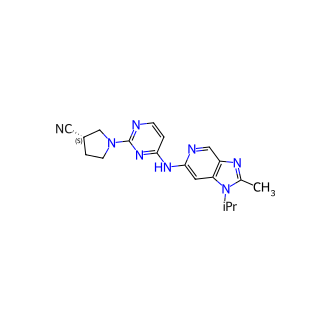 Cc1nc2cnc(Nc3ccnc(N4CC[C@H](C#N)C4)n3)cc2n1C(C)C